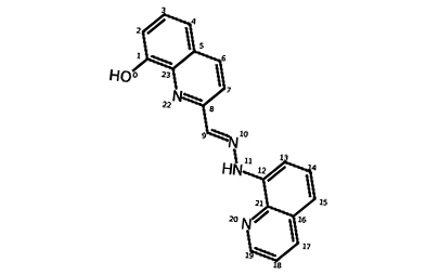 Oc1cccc2ccc(/C=N/Nc3cccc4cccnc34)nc12